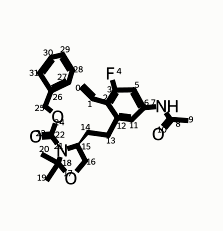 C=Cc1c(F)cc(NC(C)=O)cc1CC[C@H]1COC(C)(C)N1C(=O)OCc1ccccc1